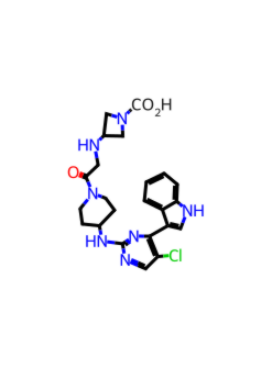 O=C(O)N1CC(NCC(=O)N2CCC(Nc3ncc(Cl)c(-c4c[nH]c5ccccc45)n3)CC2)C1